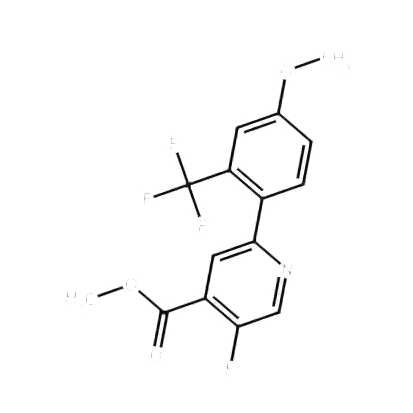 COC(=O)c1cc(-c2ccc(OC)cc2C(F)(F)F)ncc1F